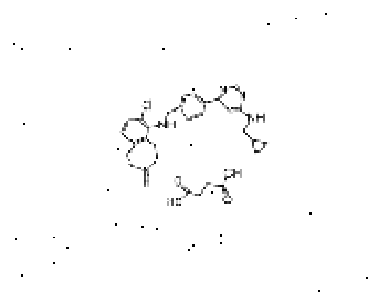 Clc1ccc2c(c1NCc1ccc(-c3cc(NCC4CC4)ncn3)cc1)CCNCC2.O=C(O)CCC(=O)O